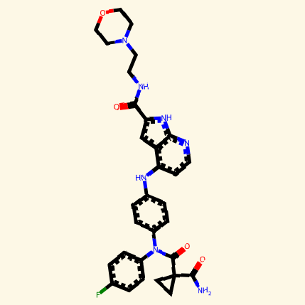 NC(=O)C1(C(=O)N(c2ccc(F)cc2)c2ccc(Nc3ccnc4[nH]c(C(=O)NCCN5CCOCC5)cc34)cc2)CC1